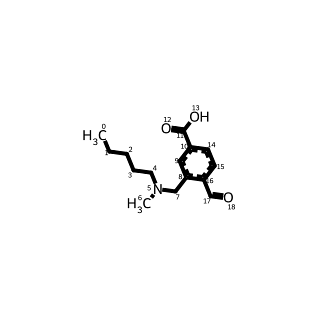 CCCCCN(C)Cc1cc(C(=O)O)ccc1C=O